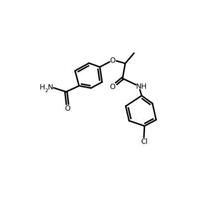 CC(Oc1ccc(C(N)=O)cc1)C(=O)Nc1ccc(Cl)cc1